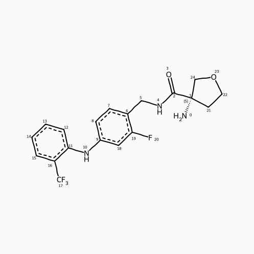 N[C@@]1(C(=O)NCc2ccc(Nc3ccccc3C(F)(F)F)cc2F)CCOC1